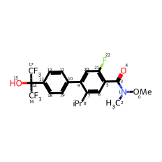 CON(C)C(=O)c1cc(C(C)C)c(-c2ccc(C(O)(C(F)(F)F)C(F)(F)F)cc2)cc1F